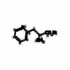 CCOC(=O)C(N)Cc1ccccn1